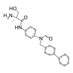 C[C@](N)(CO)C(=O)Nc1ccc(N(C=O)Cc2ccc(-c3ccccc3)cc2)cc1